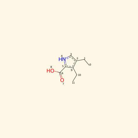 CCc1c[nH]c(C(=O)O)c1CC